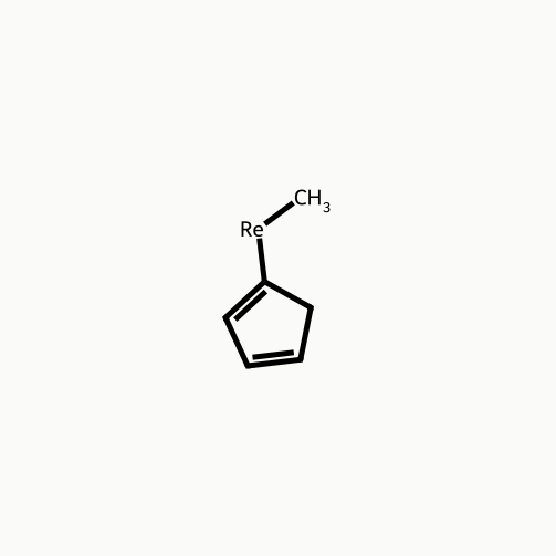 [CH3][Re][C]1=CC=CC1